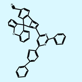 N#Cc1ccc2c(c1)C1(c3ccccc3Oc3ccccc31)c1cc(-c3cc(-c4ccc(-c5ccccc5)cc4)nc(-c4ccccc4)n3)ccc1-2